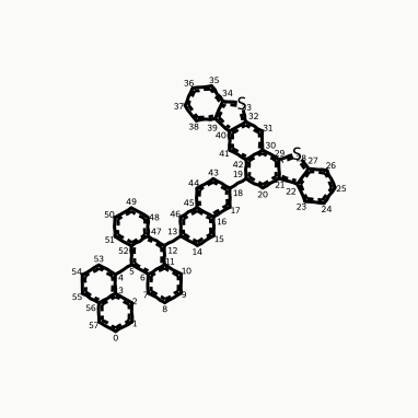 c1ccc2c(-c3c4ccccc4c(-c4ccc5cc(-c6cc7c8ccccc8sc7c7cc8sc9ccccc9c8cc67)ccc5c4)c4ccccc34)cccc2c1